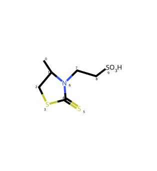 CC1CSC(=S)N1CCS(=O)(=O)O